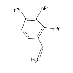 C=Cc1ccc(CCC)c(CCC)c1CCC